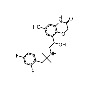 CC(C)(Cc1ccc(F)cc1F)NCC(O)c1cc(O)cc2c1OCC(=O)N2